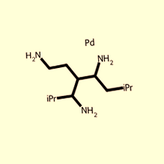 CC(C)CC(N)C(CCN)C(N)C(C)C.[Pd]